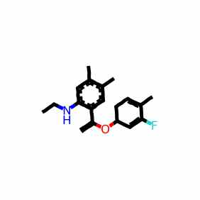 C=C(OC1C=C(F)C(C)=CC1)c1cc(C)c(C)cc1NCC